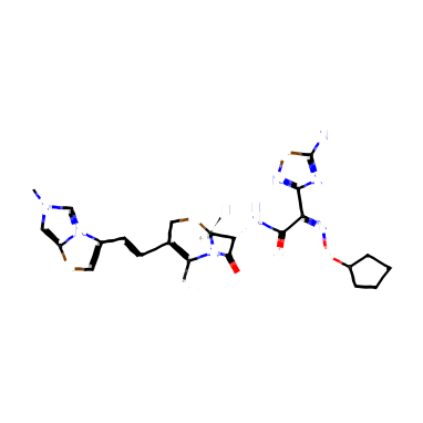 Cn1cc2scc(C=CC3=C(C(=O)[O-])N4C(=O)[C@@H](NC(=O)/C(=N\OC5CCCC5)c5nsc(N)n5)[C@H]4SC3)[n+]2c1